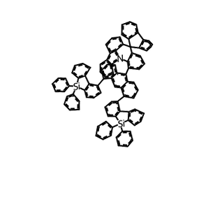 c1ccc([Si]2(c3ccccc3)c3ccccc3-c3c(-c4cccc5c(-c6cccc7c6-n6c8ccccc8c8cccc(c86)C76c7ccccc7-c7ccccc76)c6cccc(-c7cccc8c7-c7ccccc7[Si]8(c7ccccc7)c7ccccc7)c6cc45)cccc32)cc1